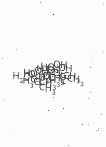 C=CC(=O)OC1C(O)C(O)C(COC(C)(CC)C(C)(CC)C2OC(COC(C)(C)CC)C(O)C(O)C2O)OC1C(C)(C)CC